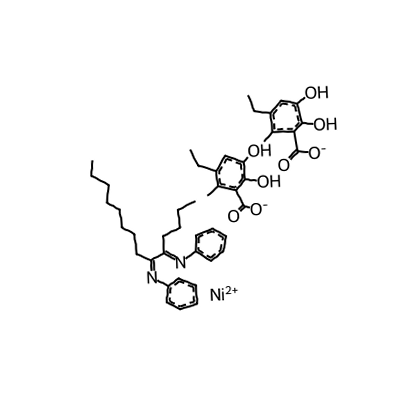 CCCCCCCCC(=Nc1ccccc1)C(CCCC)=Nc1ccccc1.CCc1cc(O)c(O)c(C(=O)[O-])c1C.CCc1cc(O)c(O)c(C(=O)[O-])c1C.[Ni+2]